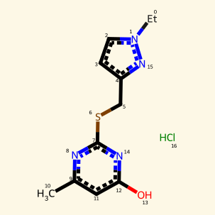 CCn1ccc(CSc2nc(C)cc(O)n2)n1.Cl